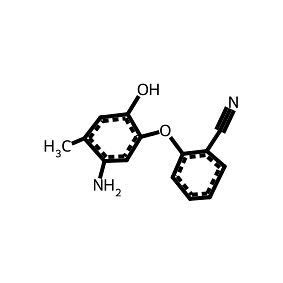 Cc1cc(O)c(Oc2ccccc2C#N)cc1N